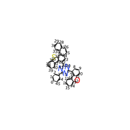 c1ccc(-c2nc(-c3cccc4oc5ccccc5c34)nc(-c3cc4ccc5ccccc5c4c4sc5ccccc5c34)n2)cc1